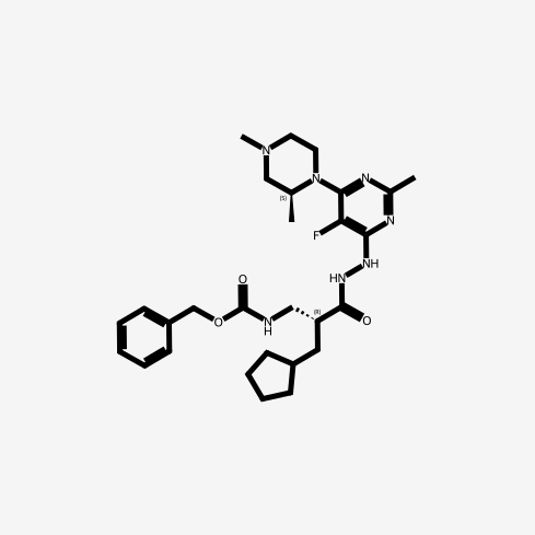 Cc1nc(NNC(=O)[C@@H](CNC(=O)OCc2ccccc2)CC2CCCC2)c(F)c(N2CCN(C)C[C@@H]2C)n1